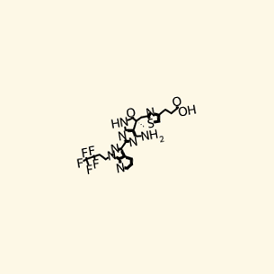 C[C@@]1(Cc2nc(CCC(=O)O)cs2)C(=O)Nc2nc(-c3nn(CCC(F)(F)C(F)(F)F)c4ncccc34)nc(N)c21